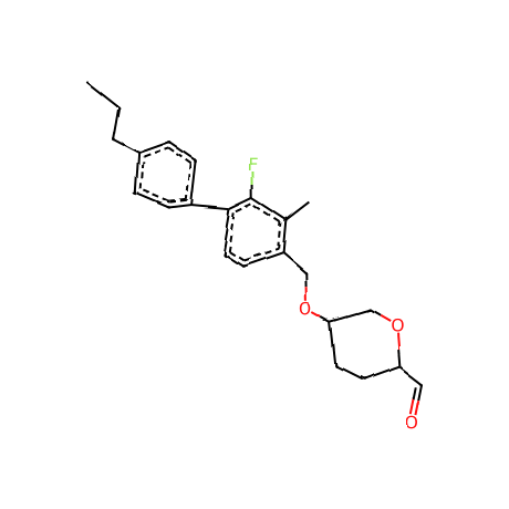 CCCc1ccc(-c2ccc(COC3CCC(C=O)OC3)c(C)c2F)cc1